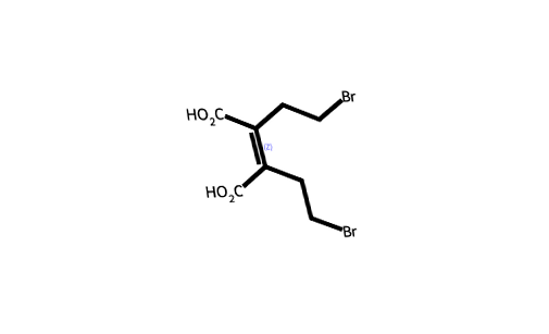 O=C(O)/C(CCBr)=C(/CCBr)C(=O)O